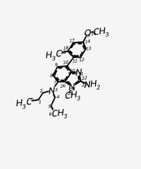 CCCN(CCC)c1ccc(-c2ccc(OC)cc2C)c2nc(N)n(C)c12